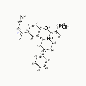 C/C(=C/C#N)c1ccc(OC(C(C)O)N2CCN(c3ccccc3)CC2)cc1.Cl